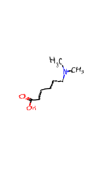 CN(C)CCCC=CC(=O)O